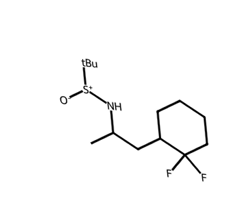 CC(CC1CCCCC1(F)F)N[S+]([O-])C(C)(C)C